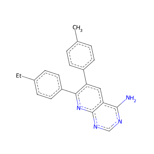 CCc1ccc(-c2nc3ncnc(N)c3cc2-c2ccc(C)cc2)cc1